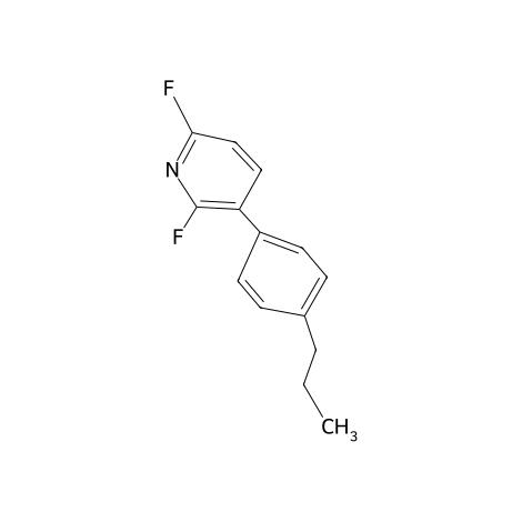 CCCc1ccc(-c2ccc(F)nc2F)cc1